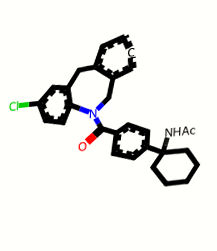 CC(=O)NC1(c2ccc(C(=O)N3Cc4ccccc4Cc4cc(Cl)ccc43)cc2)CCCCC1